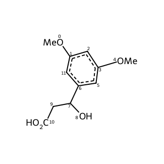 COc1cc(OC)cc(C(O)CC(=O)O)c1